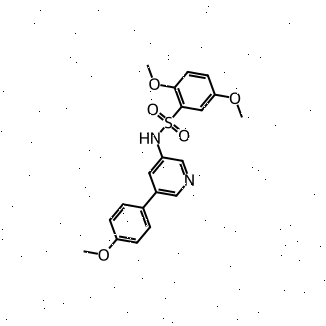 COc1ccc(-c2cncc(NS(=O)(=O)c3cc(OC)ccc3OC)c2)cc1